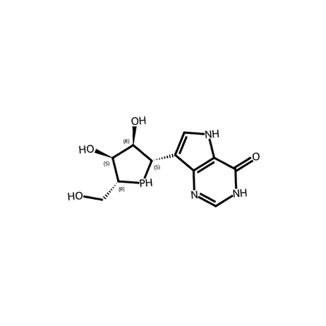 O=c1[nH]cnc2c([C@@H]3P[C@H](CO)[C@@H](O)[C@H]3O)c[nH]c12